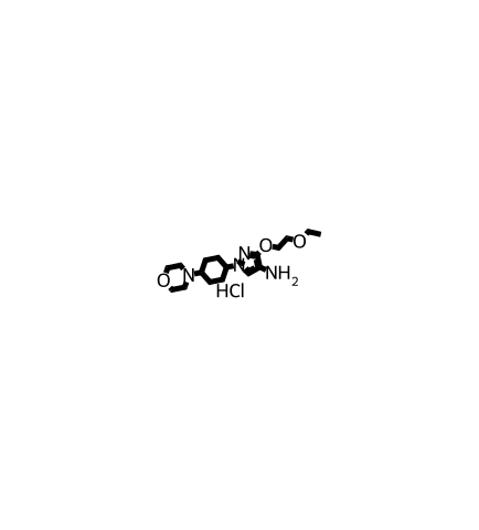 CCOCCOc1nn(C2CCC(N3CCOCC3)CC2)cc1N.Cl